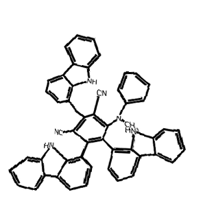 CN(c1ccccc1)c1c(C#N)c(-c2cccc3c2[nH]c2ccccc23)c(C#N)c(-c2cccc3c2[nH]c2ccccc23)c1-c1cccc2c1[nH]c1ccccc12